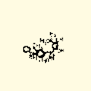 CCc1cc(Cn2c(O)nnc2-c2cc(C(C)C)c(O)cc2O)ccc1N(C)C1CCCCC1